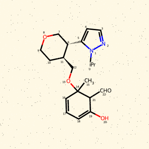 CC(C)n1nccc1[C@H]1COCC[C@@H]1COC1(C)C=CC=C(O)C1C=O